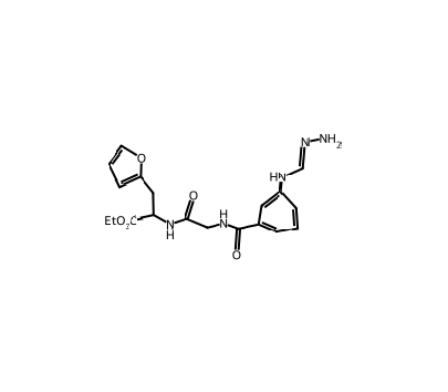 CCOC(=O)C(Cc1ccco1)NC(=O)CNC(=O)c1cccc(NC=NN)c1